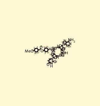 COc1ccc(C(=O)Oc2ccc(CSP3(=O)OC[C@H]4O[C@@H](n5cnc6c(N)ncnc65)[C@H](F)[C@@H]4OP(=O)(O)OC[C@H]4O[C@@H](n5ccc(=O)[nH]c5=O)[C@H](C)[C@@H]4O3)cc2)cc1